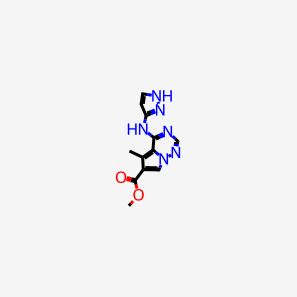 COC(=O)c1cn2ncnc(Nc3cc[nH]n3)c2c1C